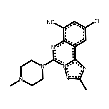 Cc1nc2c3cc(Cl)cc(C#N)c3nc(N3CCN(C)CC3)n2n1